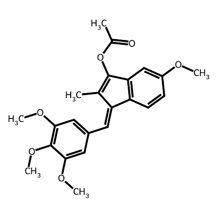 COc1ccc2c(c1)C(OC(C)=O)=C(C)C2=Cc1cc(OC)c(OC)c(OC)c1